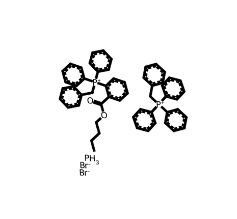 CCCCOC(=O)c1ccccc1[P+](Cc1ccccc1)(c1ccccc1)c1ccccc1.P.[Br-].[Br-].c1ccc(C[P+](c2ccccc2)(c2ccccc2)c2ccccc2)cc1